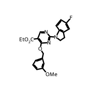 CCOC(=O)c1cnc(N2CCc3cc(F)ccc32)nc1OCc1cccc(OC)c1